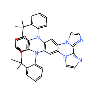 CC1(C)c2ccccc2N(c2cc3c(cc2N2c4ccccc4C(C)(C)c4ccccc42)n2ccnc2c2nccn32)c2ccccc21